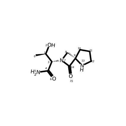 C[C@@H](O)[C@@H](C(N)=O)N1C[C@@]2(CCCN2)C1=O